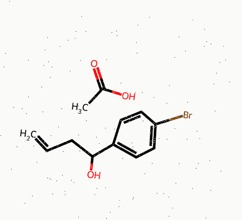 C=CCC(O)c1ccc(Br)cc1.CC(=O)O